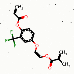 C=CC(=O)Oc1ccc(O/C=C\OC(=O)C(=C)C)cc1C(F)(F)F